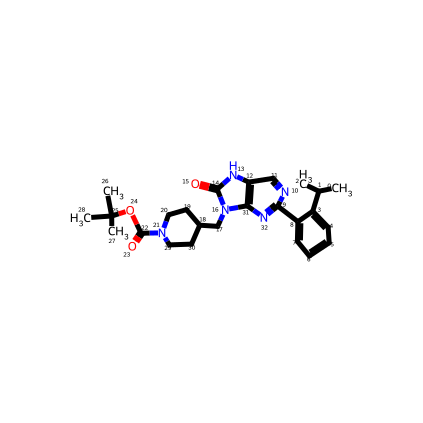 CC(C)c1ccccc1-c1ncc2[nH]c(=O)n(CC3CCN(C(=O)OC(C)(C)C)CC3)c2n1